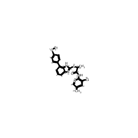 CCOc1ccc(-c2cccc3nc(SC(C)C(=O)Nc4ncc(C)cc4Cl)[nH]c23)cc1